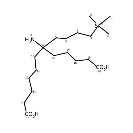 C[Si](C)(C)CCCCC(N)(CCCCCC(=O)O)CCCCC(=O)O